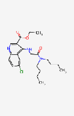 CCCCN(CCCC)C(=O)CNc1c(C(=O)OCC)cnc2ccc(Cl)cc12